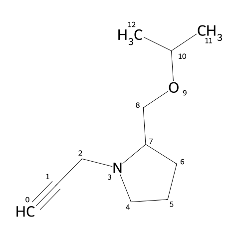 C#CCN1CCCC1COC(C)C